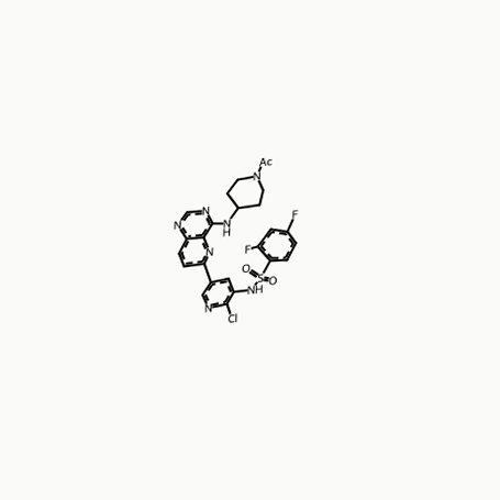 CC(=O)N1CCC(Nc2ncnc3ccc(-c4cnc(Cl)c(NS(=O)(=O)c5ccc(F)cc5F)c4)nc23)CC1